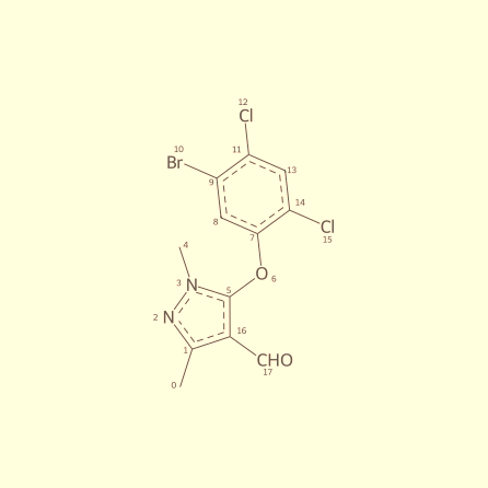 Cc1nn(C)c(Oc2cc(Br)c(Cl)cc2Cl)c1C=O